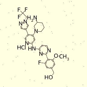 COc1cc(CO)cc(F)c1-c1nccc(Nc2cc(N3CCC[C@H](N)C3)c(-c3cnn(CC(F)(F)F)c3)cn2)n1.Cl